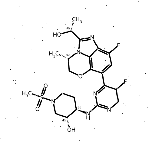 C[C@@H](O)c1nc2c(F)cc(C3=NC(N[C@@H]4CCN(S(C)(=O)=O)C[C@H]4O)=NCC3F)c3c2n1[C@@H](C)CO3